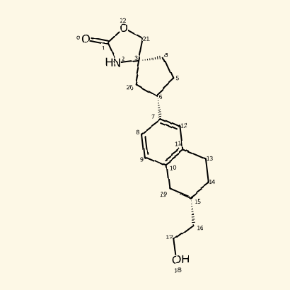 O=C1N[C@@]2(CC[C@H](c3ccc4c(c3)CC[C@H](CCO)C4)C2)CO1